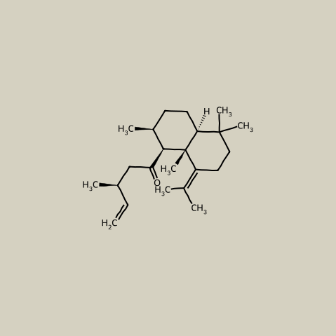 C=C[C@@H](C)CC(=O)[C@H]1[C@@H](C)CC[C@H]2C(C)(C)CCC(=C(C)C)[C@]12C